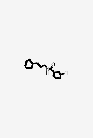 O=C(NC/C=C/c1ccccc1)c1cccc(Cl)c1